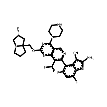 N#Cc1c(N)sc2c(F)cc(F)c(-c3ncc4c(N5CCNCC5)nc(OC[C@@]56CCCN5C[C@H](F)C6)nc4c3C(F)F)c12